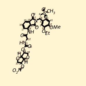 CCOc1cc([C@@H](CS(C)(=O)=O)N2C(=O)c3cccc(NC(=O)CNC(=O)O[C@H]4CO[C@H]5[C@@H]4OC[C@H]5O[N+](=O)[O-])c3C2=O)ccc1OC